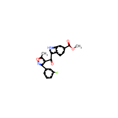 COC(=O)c1ccc2c(C(=O)c3c(-c4cccc(F)c4)noc3C)c[nH]c2c1